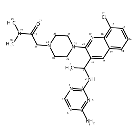 CC(Nc1ncnc(N)n1)c1cc2cccc(Cl)c2nc1N1CCN(CC(=O)N(C)C)CC1